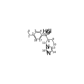 CCc1ccc(C(=O)C(CC)Cn2ccnc2)cc1.Cl